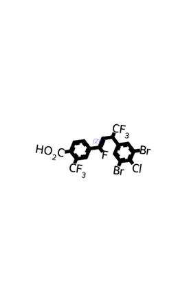 O=C(O)c1ccc(/C(F)=C/C(c2cc(Br)c(Cl)c(Br)c2)C(F)(F)F)cc1C(F)(F)F